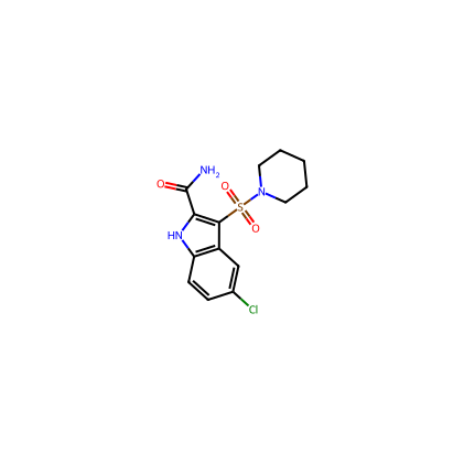 NC(=O)c1[nH]c2ccc(Cl)cc2c1S(=O)(=O)N1CCCCC1